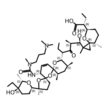 CCC(C(=O)[C@@H](C)[C@@H](O)C1(C)C[C@]12O[C@@H]([C@@H](CC)C(=O)O)CC[C@@H]2C)[C@H]1O[C@]2(C=C[C@@H](NC(=O)N(C)CCCN(C)C)[C@]3(CC[C@@](C)([C@H]4CC[C@](O)(CC)[C@H](C)O4)O3)O2)[C@H](C)C[C@@H]1C